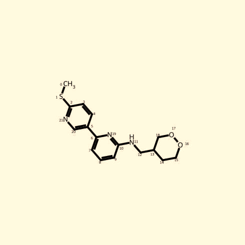 CSc1ccc(-c2cccc(NCC3CCOOC3)n2)cn1